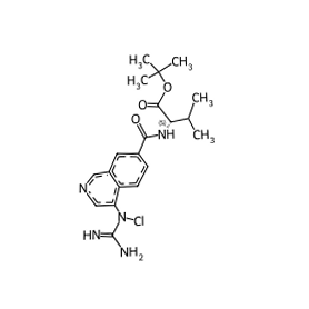 CC(C)[C@H](NC(=O)c1ccc2c(N(Cl)C(=N)N)cncc2c1)C(=O)OC(C)(C)C